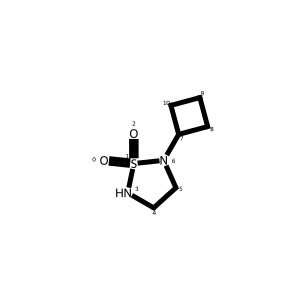 O=S1(=O)NCCN1C1CCC1